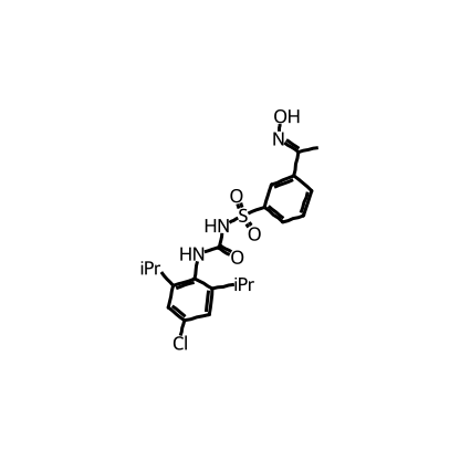 CC(=NO)c1cccc(S(=O)(=O)NC(=O)Nc2c(C(C)C)cc(Cl)cc2C(C)C)c1